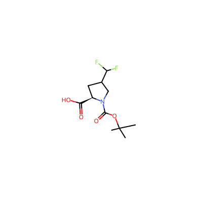 CC(C)(C)OC(=O)N1CC(C(F)F)C[C@@H]1C(=O)O